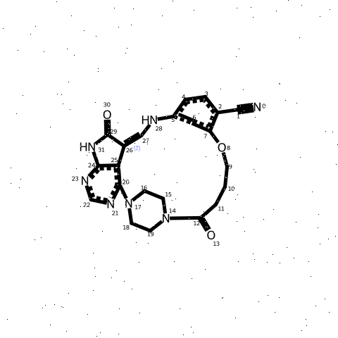 N#Cc1ccc2cc1OCCCC(=O)N1CCN(CC1)c1ncnc3c1/C(=C/N2)C(=O)N3